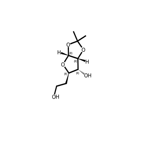 CC1(C)O[C@H]2O[C@H](CCO)[C@@H](O)[C@H]2O1